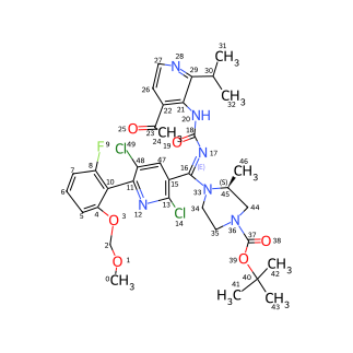 COCOc1cccc(F)c1-c1nc(Cl)c(/C(=N\C(=O)Nc2c(C(C)=O)ccnc2C(C)C)N2CCN(C(=O)OC(C)(C)C)C[C@@H]2C)cc1Cl